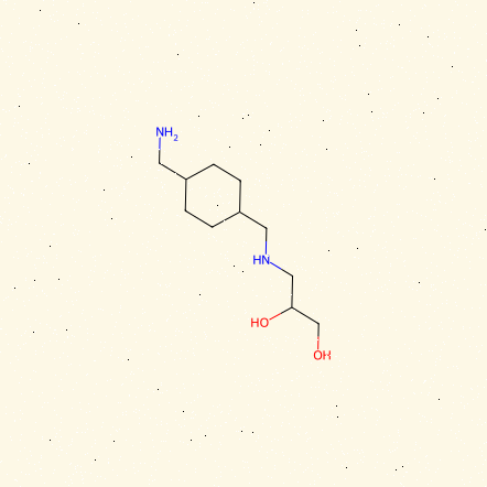 NCC1CCC(CNCC(O)CO)CC1